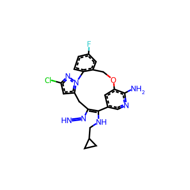 N=N/C1=C(\NCC2CC2)c2cnc(N)c(c2)OCc2cc(F)ccc2-n2nc(Cl)cc2C1